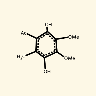 COc1c(O)c(C)c(C(C)=O)c(O)c1OC